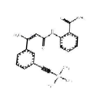 COC(=O)c1ccccc1NC(=O)/C=C(/C)c1cccc(C#C[Si](C)(C)C)c1